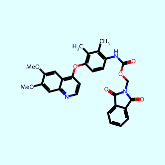 COc1cc2nccc(Oc3ccc(NC(=O)OCN4C(=O)c5ccccc5C4=O)c(C)c3C)c2cc1OC